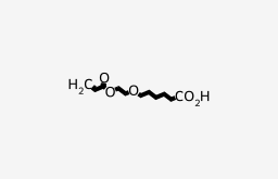 C=CC(=O)OCCOCCCCCC(=O)O